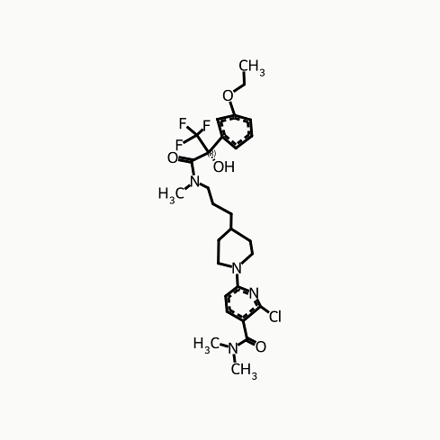 CCOc1cccc([C@@](O)(C(=O)N(C)CCCC2CCN(c3ccc(C(=O)N(C)C)c(Cl)n3)CC2)C(F)(F)F)c1